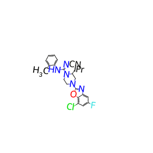 Cc1ccccc1N/C(=N/C#N)N1CCN(c2nc3cc(F)cc(Cl)c3o2)CC1C(C)C